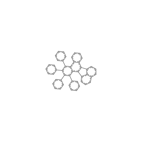 c1ccc(-c2c(-c3ccccc3)c(-c3ccccc3)c3c(c2-c2ccccc2)c2c(c4ccccc43)-c3cccc4cccc-2c34)cc1